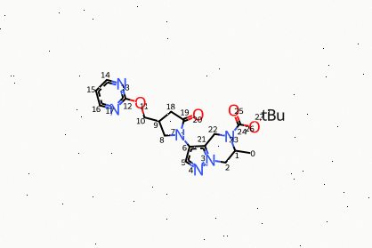 CC1Cn2ncc(N3CC(COc4ncccn4)CC3=O)c2CN1C(=O)OC(C)(C)C